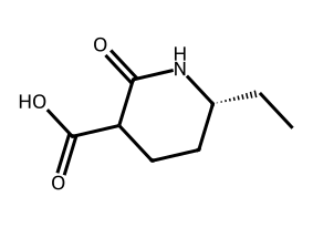 CC[C@@H]1CCC(C(=O)O)C(=O)N1